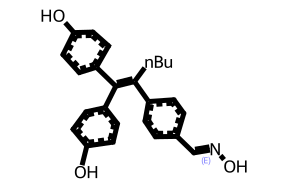 CCCCC(=C(c1ccc(O)cc1)c1ccc(O)cc1)c1ccc(/C=N/O)cc1